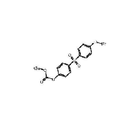 CC(C)Oc1ccc(S(=O)(=O)c2ccc(OC(=O)OC(C)(C)C)cc2)cc1